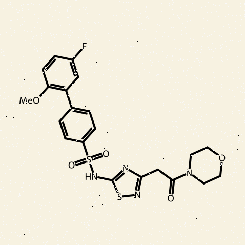 COc1ccc(F)cc1-c1ccc(S(=O)(=O)Nc2nc(CC(=O)N3CCOCC3)ns2)cc1